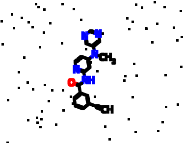 C#Cc1cccc(C(=O)Nc2cc(N(C)c3cncnc3)ccn2)c1